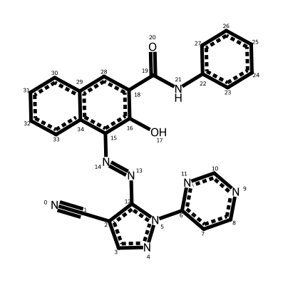 N#Cc1cnn(-c2ccncn2)c1/N=N/c1c(O)c(C(=O)Nc2ccccc2)cc2ccccc12